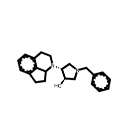 O[C@@H]1CN(Cc2ccccc2)C[C@H]1N1CCc2cccc3c2C1CC3